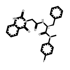 CN(C(=O)[C@H](Cc1ccccc1)NC(=O)Cn1c(=O)[nH]c2ccccc2c1=O)c1ccc(F)cc1